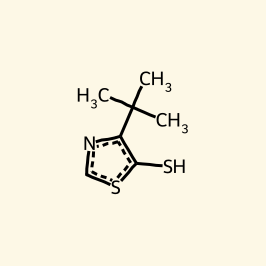 CC(C)(C)c1ncsc1S